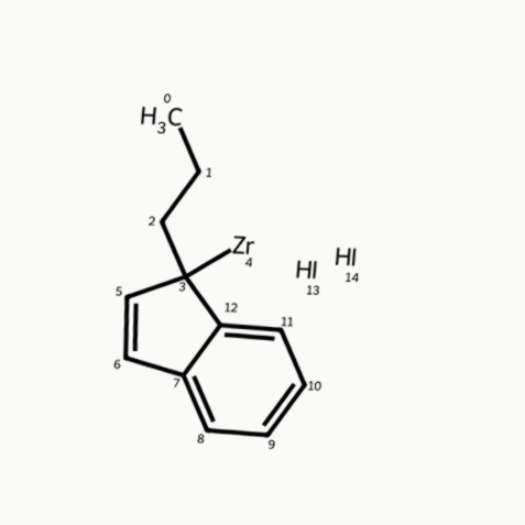 CCC[C]1([Zr])C=Cc2ccccc21.I.I